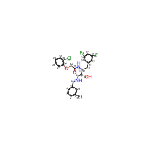 CCc1cccc(CNC[C@@H](O)[C@H](Cc2cc(F)cc(F)c2)NC(=O)COc2ccccc2Cl)c1